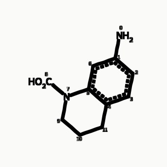 Nc1ccc2c(c1)N(C(=O)O)CCC2